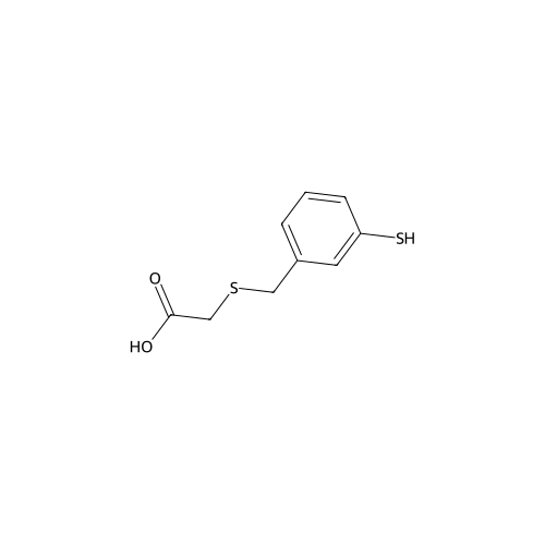 O=C(O)CSCc1cccc(S)c1